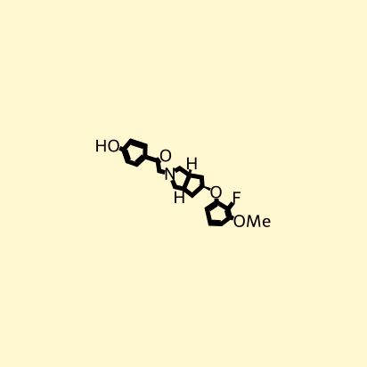 COc1cccc(O[C@H]2C[C@@H]3CN(CC(=O)c4ccc(O)cc4)C[C@@H]3C2)c1F